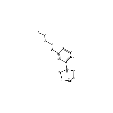 CCCCCc1ccnc(N2CCNCC2)c1